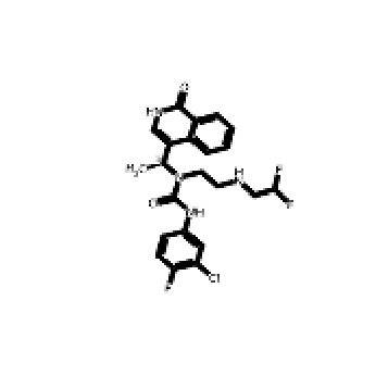 C[C@@H](c1c[nH]c(=O)c2ccccc12)N(CCNCC(F)F)C(=O)Nc1ccc(F)c(Cl)c1